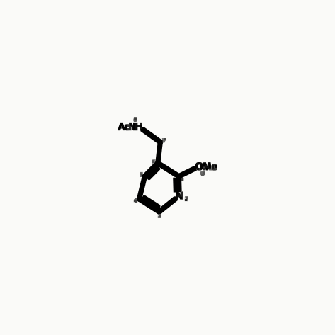 COc1ncccc1CNC(C)=O